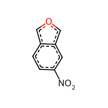 O=[N+]([O-])c1ccc2cocc2c1